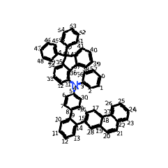 c1ccc(N(c2ccc(-c3ccccc3-c3ccc4c(ccc5ccccc54)c3)cc2)c2cccc3c2-c2ccccc2C3(c2ccccc2)c2ccccc2)cc1